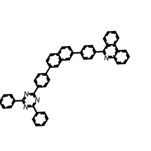 c1ccc(-c2nc(-c3ccccc3)nc(-c3ccc(-c4ccc5ccc(-c6ccc(-c7nc8ccccc8c8ccccc78)cc6)cc5c4)cc3)n2)cc1